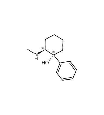 CN[C@H]1CCCC[C@@]1(O)c1ccccc1